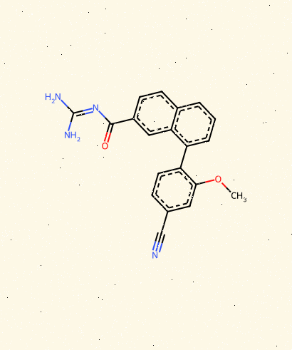 COc1cc(C#N)ccc1-c1cccc2ccc(C(=O)N=C(N)N)cc12